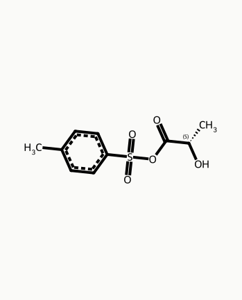 Cc1ccc(S(=O)(=O)OC(=O)[C@H](C)O)cc1